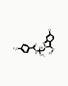 CCOc1c2ccc(Cl)cc2nn1CC(C)(C#N)NC(=S)c1ccc(C(F)(F)F)cc1